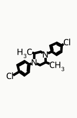 CC1CN(c2ccc(Cl)cc2)C(C)CN1c1ccc(Cl)cc1